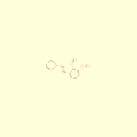 CCOc1cccc(N=Nc2ccccc2)c1OCC